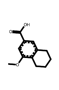 COc1cc(C(=O)O)cc2c1CCCC2